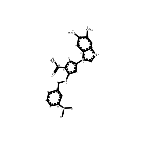 COc1cc2ncn(-c3cc(OCc4cccc(N(C)C)c4)c(C(N)=O)s3)c2cc1OC